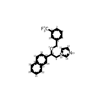 FC(F)(F)c1cccc(COC(Cn2ccnc2)c2ccc3ccccc3c2)c1